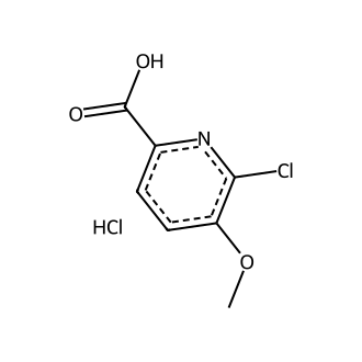 COc1ccc(C(=O)O)nc1Cl.Cl